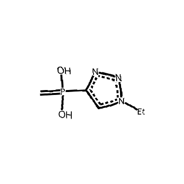 C=P(O)(O)c1cn(CC)nn1